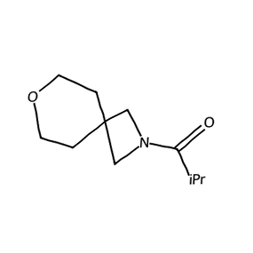 CC(C)C(=O)N1CC2(CCOCC2)C1